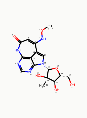 CONC1=CC(=O)Nc2ncnc3c2c1cn3[C@@H]1O[C@H](CO)[C@@H](O)[C@@]1(C)O